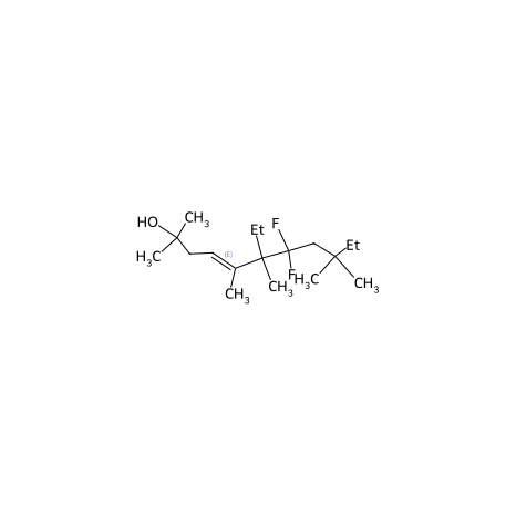 CCC(C)(C)CC(F)(F)C(C)(CC)/C(C)=C/CC(C)(C)O